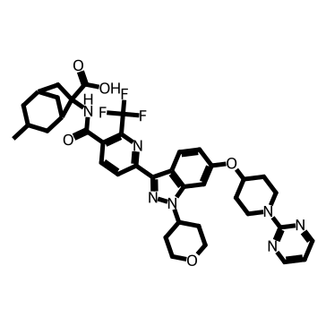 CC1CC2CC(C1)C(NC(=O)c1ccc(-c3nn(C4CCOCC4)c4cc(OC5CCN(c6ncccn6)CC5)ccc34)nc1C(F)(F)F)(C(=O)O)C2